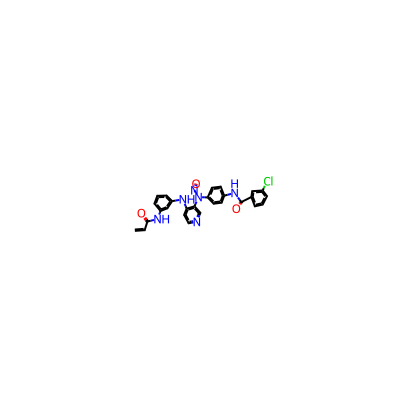 C=CC(=O)Nc1cccc(Nc2ccncc2N(N=O)c2ccc(NC(=O)c3cccc(Cl)c3)cc2)c1